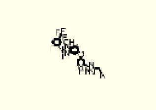 Cn1c(Nc2cc(C(F)(F)F)ccc2F)nc2cc(Oc3ccnc(-c4nc(CC#N)n[nH]4)c3)ccc21